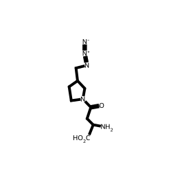 [N-]=[N+]=NCC1CCN(C(=O)CC(N)C(=O)O)C1